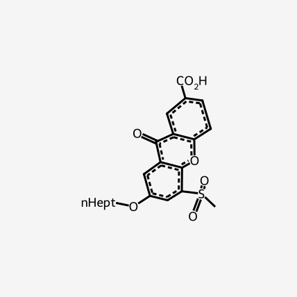 CCCCCCCOc1cc(S(C)(=O)=O)c2oc3ccc(C(=O)O)cc3c(=O)c2c1